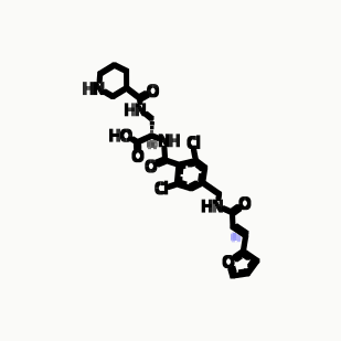 O=C(/C=C/c1ccco1)NCc1cc(Cl)c(C(=O)N[C@@H](CNC(=O)C2CCCNC2)C(=O)O)c(Cl)c1